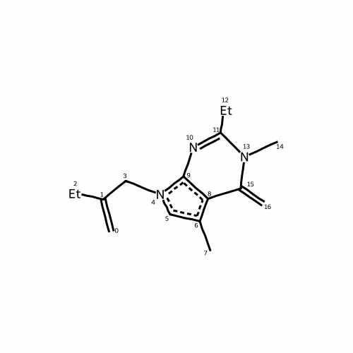 C=C(CC)Cn1cc(C)c2c1N=C(CC)N(C)C2=C